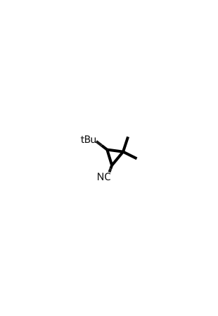 CC(C)(C)C1C(C#N)C1(C)C